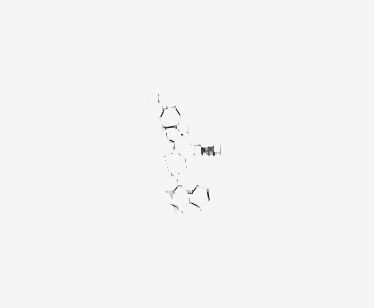 Cl.Cl.NCCC(F)(C(=O)N1CCN(c2ncnc3ccccc23)CC1)c1ccc(Cl)cc1